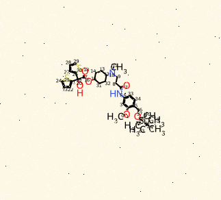 COc1cc(NC(=O)CCN(C)[C@H]2CC[C@H](OC(=O)C(O)(c3cccs3)c3cccs3)CC2)ccc1CO[Si](C)(C)C(C)(C)C